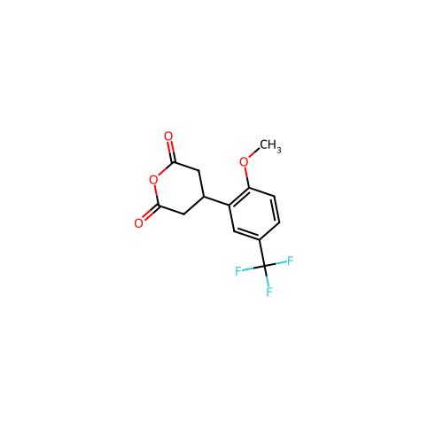 COc1ccc(C(F)(F)F)cc1C1CC(=O)OC(=O)C1